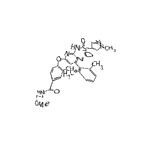 COCCNC(=O)c1ccc(Oc2cc(-c3c(C)cccc3C)nc(NS(=O)(=O)c3cnn(C)c3)n2)c(C)c1